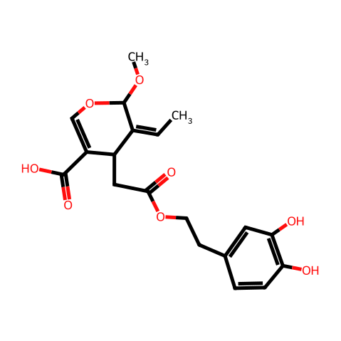 C/C=C1\C(OC)OC=C(C(=O)O)C1CC(=O)OCCc1ccc(O)c(O)c1